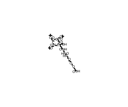 CC(C)(C)OC(=O)CN1CCN(CC(=O)OC(C)(C)C)CCN(C(CCC(=O)NCCNC(=O)NCCOCCOCCOCCC(=O)O)C(=O)O)CCN(CC(=O)OC(C)(C)C)CC1